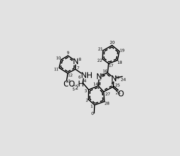 Cc1cc([C@H](C)Nc2ncccc2C(=O)O)c2nc(-c3ccccc3)n(C)c(=O)c2c1